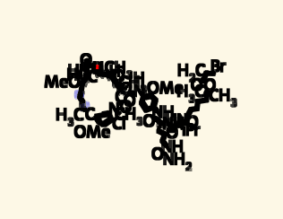 C=C(CBr)C(=O)OC(C)(C)CCCCC(=O)N[C@H](C(=O)N[C@@H](CCCNC(N)=O)C(=O)Nc1ccc(NC(=O)O[C@H]2CC(=O)N(C)c3cc(cc(OC)c3Cl)C/C(C)=C/C=C/[C@@H](OC)[C@@]3(O)C[C@H](OC(=O)N3)[C@@H](C)[C@@H]3O[C@@]23C)c(OC)c1)C(C)C